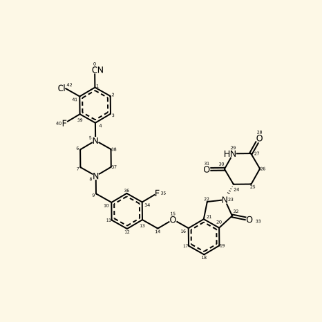 N#Cc1ccc(N2CCN(Cc3ccc(COc4cccc5c4CN([C@H]4CCC(=O)NC4=O)C5=O)c(F)c3)CC2)c(F)c1Cl